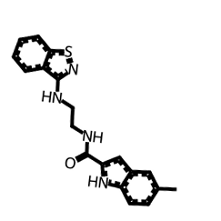 Cc1ccc2[nH]c(C(=O)NCCNc3nsc4ccccc34)cc2c1